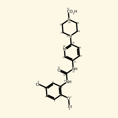 CCOc1ccc(Cl)cc1NC(=O)Nc1ccc(N2CCN(C(=O)O)CC2)nc1